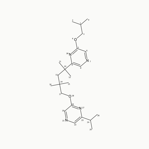 CC(C)COc1cncc(C(C)(C)CC(C)(C)COc2cncc(C(C)C)n2)n1